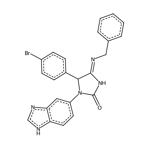 O=C1NC(=NCc2ccccc2)C(c2ccc(Br)cc2)N1c1ccc2[nH]cnc2c1